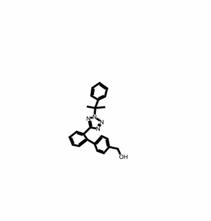 CC(C)(c1ccccc1)n1nnc(-c2ccccc2-c2ccc(CO)cc2)n1